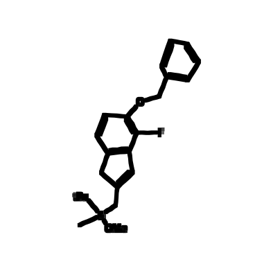 CO[Si](C)(CC1=Cc2c(ccc(OCc3ccccc3)c2F)C1)C(C)(C)C